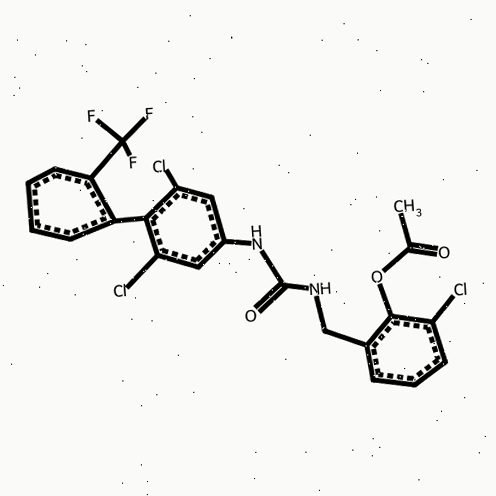 CC(=O)Oc1c(Cl)cccc1CNC(=O)Nc1cc(Cl)c(-c2ccccc2C(F)(F)F)c(Cl)c1